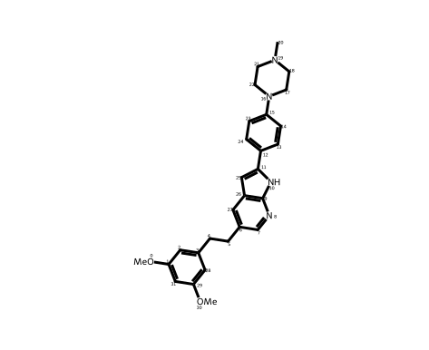 COc1cc(CCc2cnc3[nH]c(-c4ccc(N5CCN(C)CC5)cc4)cc3c2)cc(OC)c1